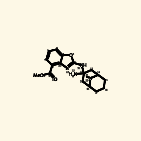 COC(=O)c1cccc2oc(NC3(N)CC4CCCC(C3)N4C)nc12